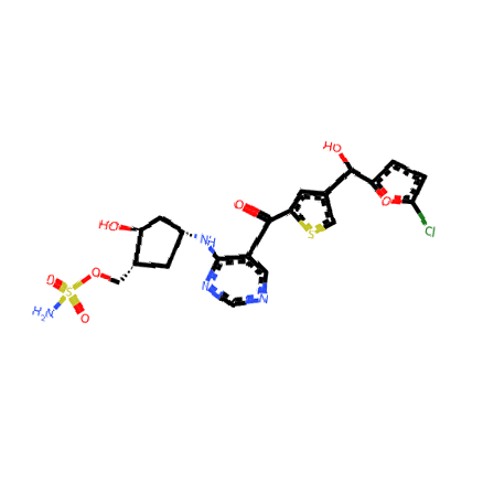 NS(=O)(=O)OC[C@H]1C[C@@H](Nc2ncncc2C(=O)c2cc(C(O)c3ccc(Cl)o3)cs2)C[C@@H]1O